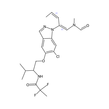 C/C=C\C(=C/N(C)C=O)n1ncc2cc(OCC(NC(=O)C(C)(F)F)C(C)C)c(Cl)cc21